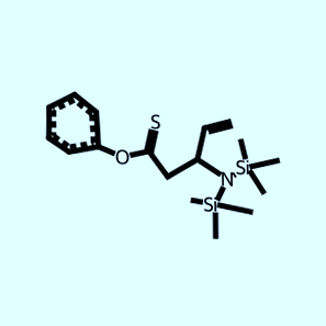 C=CC(CC(=S)Oc1ccccc1)N([Si](C)(C)C)[Si](C)(C)C